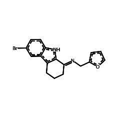 Brc1ccc2[nH]c3c(c2c1)CCC/C3=N\Cc1ccco1